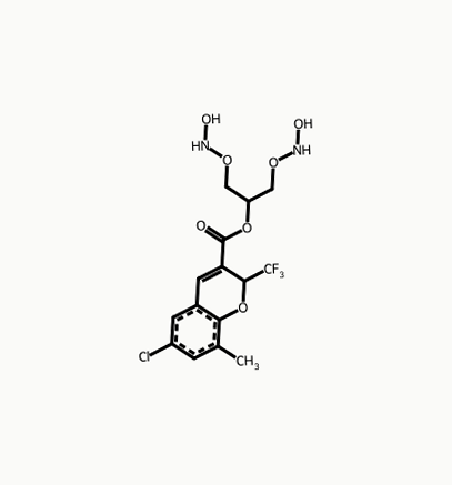 Cc1cc(Cl)cc2c1OC(C(F)(F)F)C(C(=O)OC(CONO)CONO)=C2